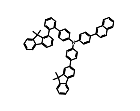 CC1(C)c2ccccc2-c2ccc(-c3ccc(N(c4ccc(-c5ccc6ccccc6c5)cc4)c4ccc(-c5ccccc5-c5cccc6c5C(C)(C)c5ccccc5-6)cc4)cc3)cc21